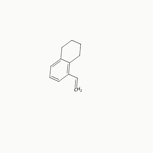 C=Cc1cccc2c1CCCC2